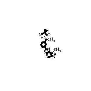 C[C@H](NC(=O)C1(C#N)CC1)c1cccc(-c2nc3c(ncc4ncn(C)c43)s2)c1